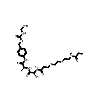 CC(C)[C@H](NC(=O)CCOCCOCCNC(=O)CI)C(=O)N[C@@H](C)C(=O)Nc1ccc(COC(=O)NCC(C)(C)C)cc1